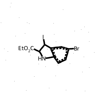 CCOC(=O)C1Nc2ccc(Br)cc2C1I